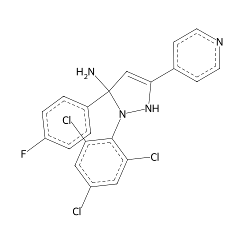 NC1(c2ccc(F)cc2)C=C(c2ccncc2)NN1c1c(Cl)cc(Cl)cc1Cl